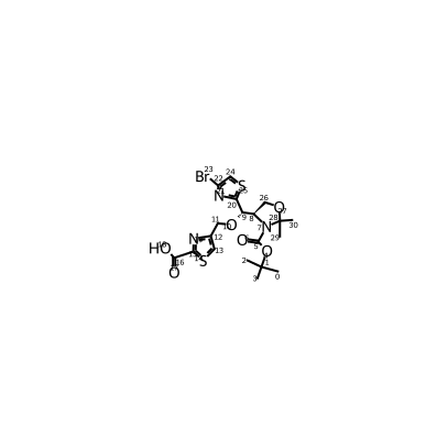 CC(C)(C)OC(=O)N1[C@@H]([C@H](OCc2csc(C(=O)O)n2)c2nc(Br)cs2)COC1(C)C